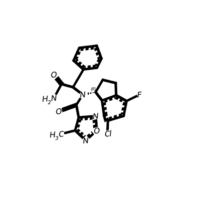 Cc1nonc1C(=O)N(C(C(N)=O)c1ccccc1)[C@@H]1CCc2c(F)cc(Cl)cc21